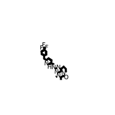 CC1C(=O)N2CCCc3nc(NCc4ccc(Cc5ccc(C(F)(F)F)cc5)nc4)nc(c32)N1C